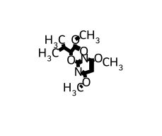 COC(=O)C(Oc1nc(OC)cc(OC)n1)C(C)C